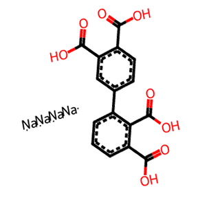 O=C(O)c1ccc(-c2cccc(C(=O)O)c2C(=O)O)cc1C(=O)O.[Na].[Na].[Na].[Na]